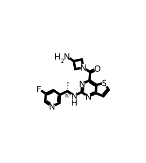 C[C@H](Nc1nc(C(=O)N2CC(N)C2)c2sccc2n1)c1cncc(F)c1